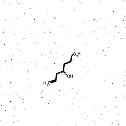 C=CCC(O)CCS(=O)(=O)O